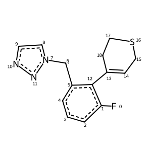 Fc1cccc([CH]n2ccnn2)c1C1=CCSCC1